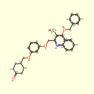 Cc1c(COc2cccc(OCC3CCC(=O)CC3)c2)nc2ccccc2c1OCc1ccccc1